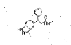 CNC(=O)CC(c1ccccc1)c1ccc2[nH]nc(C)c2c1